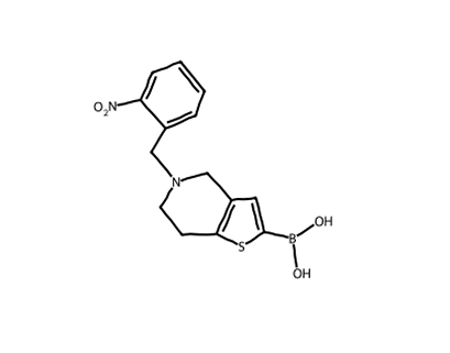 O=[N+]([O-])c1ccccc1CN1CCc2sc(B(O)O)cc2C1